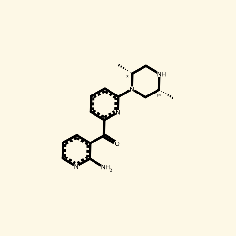 C[C@@H]1CN(c2cccc(C(=O)c3cccnc3N)n2)[C@H](C)CN1